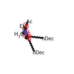 CCCCCCCCCCCCCCCCCCCCOc1cccc(C(=O)n2c(=O)c(C)cn([C@H]3C[C@@H](OC(=O)CCC(C)=O)[C@@H](CC)O3)c2=O)c1OCCCCCCCCCCCCCCCCCCCC